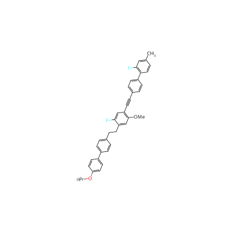 CCCOc1ccc(-c2ccc(CCc3cc(OC)c(C#Cc4ccc(-c5ccc(C)cc5F)cc4)cc3F)cc2)cc1